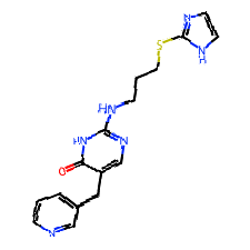 O=c1[nH]c(NCCCSc2ncc[nH]2)ncc1Cc1cccnc1